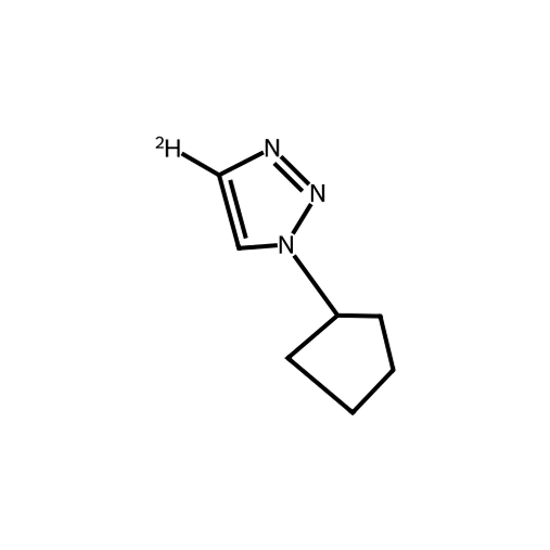 [2H]c1cn(C2CCCC2)nn1